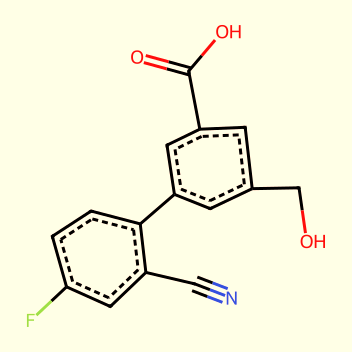 N#Cc1cc(F)ccc1-c1cc(CO)cc(C(=O)O)c1